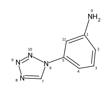 Nc1cccc(-n2cnnn2)c1